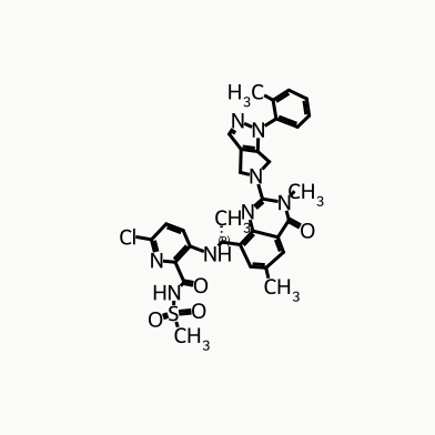 Cc1cc([C@@H](C)Nc2ccc(Cl)nc2C(=O)NS(C)(=O)=O)c2nc(N3Cc4cnn(-c5ccccc5C)c4C3)n(C)c(=O)c2c1